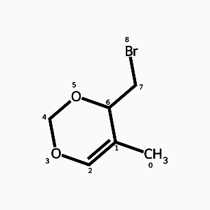 CC1=COCOC1CBr